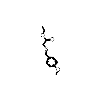 CCOC(=O)CSCc1ccc(OC)cc1